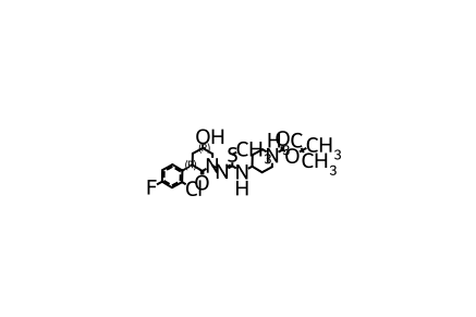 CSC(=NN1C[C@H](O)C[C@H](c2ccc(F)cc2Cl)C1=O)NC1CCN(C(=O)OC(C)(C)C)CC1